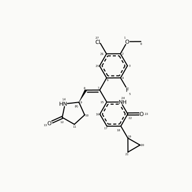 COc1cc(F)c(C(=C[C@H]2CCC(=O)N2)c2ccc(C3CC3)c(=O)[nH]2)cc1Cl